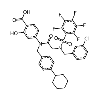 O=C(O)c1ccc(N(Cc2ccc(C3CCCCC3)cc2)C(=O)CN(Cc2cccc(Cl)c2)S(=O)(=O)c2c(F)c(F)c(F)c(F)c2F)cc1O